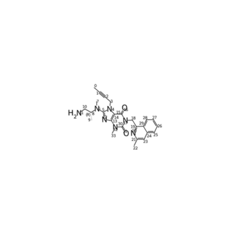 CC#CCn1c(N(C)[C@H](C)CN)nc2c1c(=O)n(Cc1nc(C)cc3ccccc13)c(=O)n2C